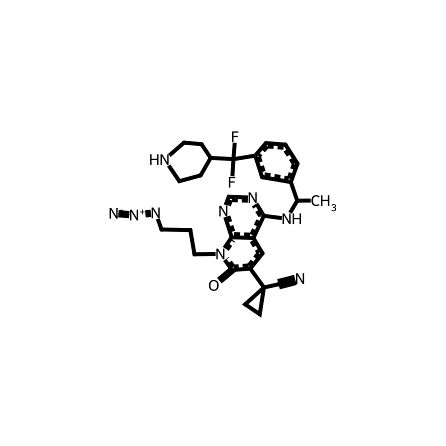 CC(Nc1ncnc2c1cc(C1(C#N)CC1)c(=O)n2CCCN=[N+]=[N-])c1cccc(C(F)(F)C2CCNCC2)c1